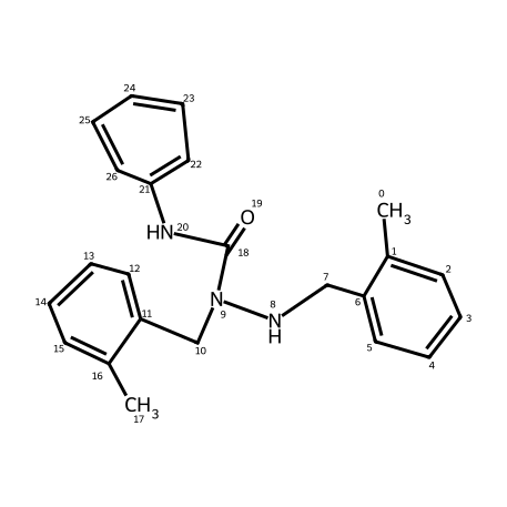 Cc1ccccc1CNN(Cc1ccccc1C)C(=O)Nc1ccccc1